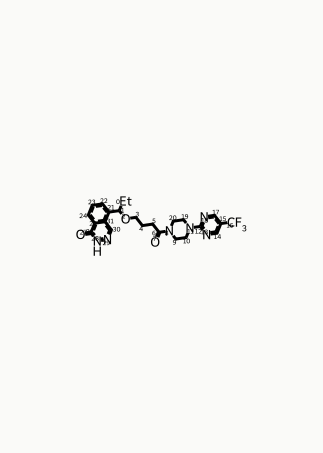 CCC(OCCCC(=O)N1CCN(c2ncc(C(F)(F)F)cn2)CC1)c1cccc2c(=O)[nH]ncc12